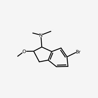 COC1Cc2ccc(Br)cc2C1N(C)C